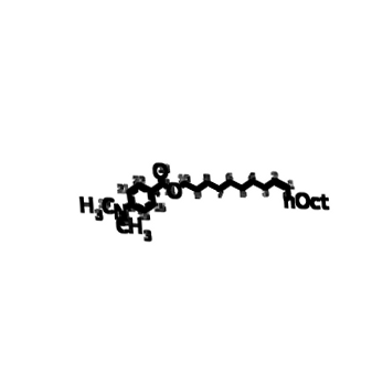 CCCCCCCC/C=C\CCCCCCCCOC(=O)c1ccc(N(C)C)cc1